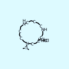 Cl.Cl.Cl.[CH3][Ti]([CH3])[N]1CCCCCNCCCCCNCCCCC1